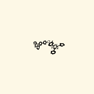 Cc1cc(-c2nc(-c3ccccc3)nc(-c3ccccc3)n2)ccc1Oc1ccc(-c2ccc3c(c2)c2cccc4c2n3-c2ccccc2C4(C)C)cc1